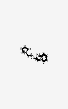 c1ccn2cc(OCCN3CCCC3)nc2c1